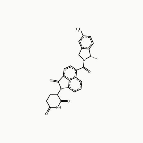 C[C@H]1c2ccc(C(F)(F)F)cc2CN1C(=O)c1ccc2c3c(cccc13)N(C1CCC(=O)NC1=O)C2=O